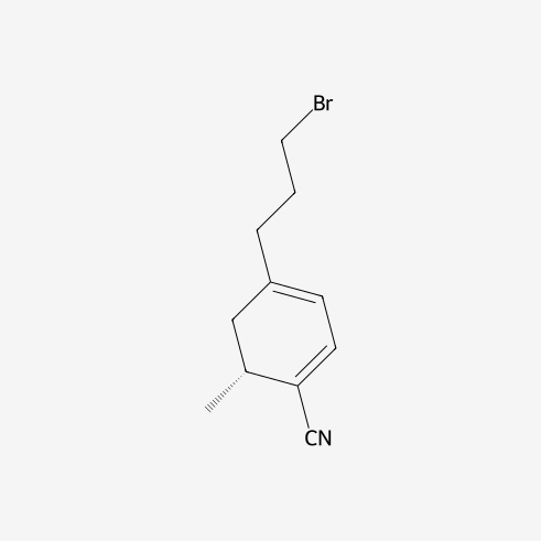 C[C@@H]1CC(CCCBr)=CC=C1C#N